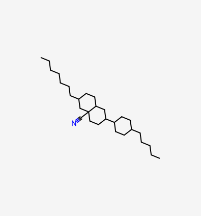 CCCCCCCC1CCC2CC(C3CCC(CCCCC)CC3)CCC2(C#N)C1